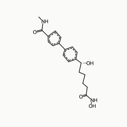 CNC(=O)c1ccc(-c2ccc([C@H](O)CCCCC(=O)NO)cc2)cc1